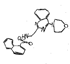 O=S(=O)(NCc1nc(N2CCOCC2)c2ccccc2n1)c1cccc2ccccc12